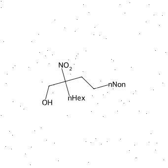 CCCCCCCCCCCC(CO)(CCCCCC)[N+](=O)[O-]